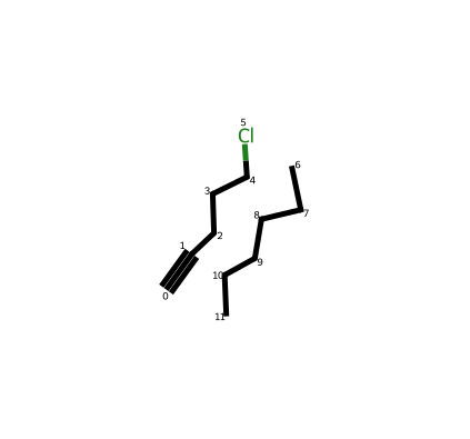 C#CCCCCl.CCCCCC